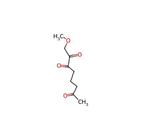 COCC(=O)C(=O)CCCC(C)=O